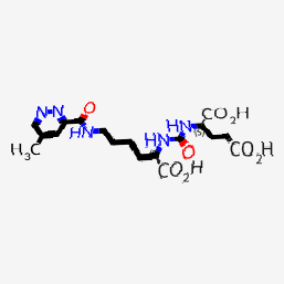 Cc1cnnc(C(=O)NCCCC[C@H](NC(=O)N[C@@H](CCC(=O)O)C(=O)O)C(=O)O)c1